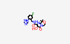 CC1(C)OCCn2c1nc(C(=O)NCc1cc(F)ccc1-n1cncn1)c(O)c2=O